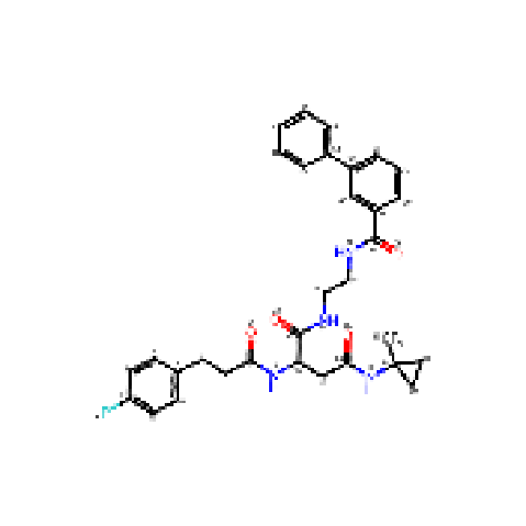 O=C(CCc1ccc(F)cc1)NC(CC(=O)NC1(C(F)(F)F)CC1)C(=O)NCCNC(=O)c1cccc(-c2ccccc2)c1